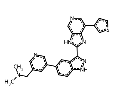 CN(C)Cc1cncc(-c2ccc3[nH]nc(-c4nc5c(-c6ccsc6)cncc5[nH]4)c3c2)c1